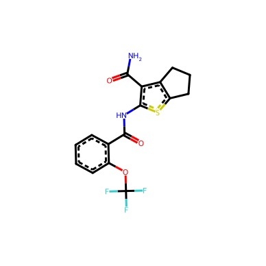 NC(=O)c1c(NC(=O)c2ccccc2OC(F)(F)F)sc2c1CCC2